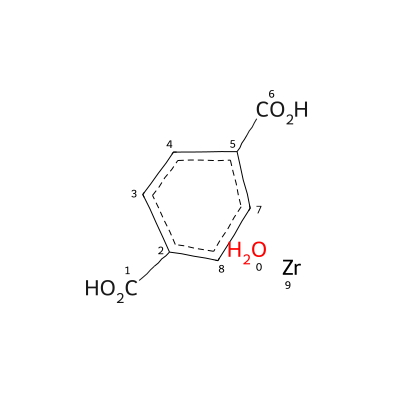 O.O=C(O)c1ccc(C(=O)O)cc1.[Zr]